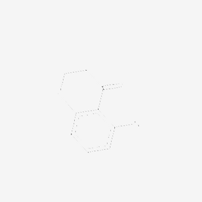 Nc1cccc2c1C(=O)CCS2